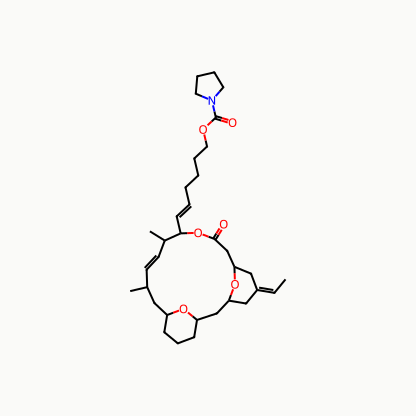 C/C=C1\CC2CC(=O)OC(/C=C/CCCCOC(=O)N3CCCC3)C(C)/C=C/C(C)CC3CCCC(CC(C1)O2)O3